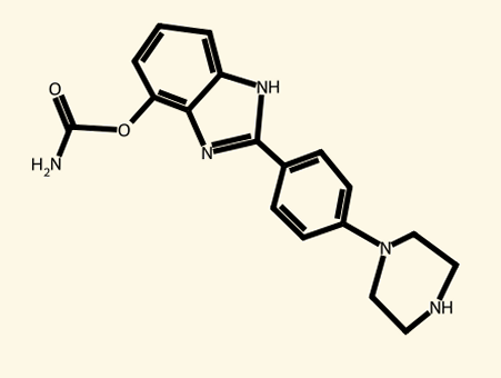 NC(=O)Oc1cccc2[nH]c(-c3ccc(N4CCNCC4)cc3)nc12